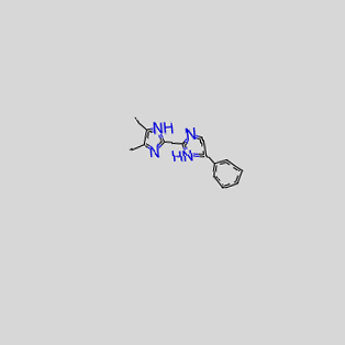 Cc1nc(-c2ncc(-c3ccccc3)[nH]2)[nH]c1C